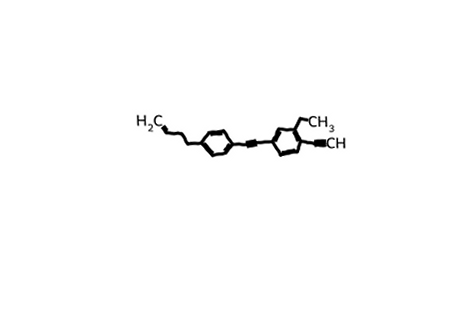 C#Cc1ccc(C#Cc2ccc(CCC=C)cc2)cc1CC